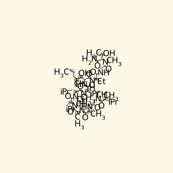 C/C=C\C[C@@H](C)[C@H](O)C(NC(=O)[C@@H](C(C)C)N(C)C(=O)[C@@H](CC(C)C)N(C)C(=O)[C@@H](CC(C)C)N(C)C(=O)[C@H](C)NC(=O)[C@@H](C)NC(=O)CN(C)C(=O)[C@H](C)C(C)C)C(=O)N[C@H](CC)C(=O)NCC(=O)N(C)C(C(N)=O)[C@H](C)O